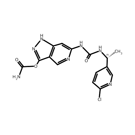 C[C@@H](NC(=O)Nc1cc2[nH]nc(OC(N)=O)c2cn1)c1ccc(Cl)nc1